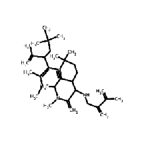 C=C(C)C(=C)CNC(C(=C)N(C)C(C)/C=C\C(=C(\C)CC)C(CC(C)(C)C)C(=C)C)C1CCC(C)(C)CC1